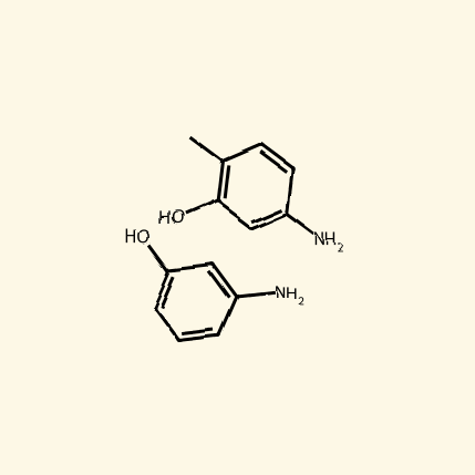 Cc1ccc(N)cc1O.Nc1cccc(O)c1